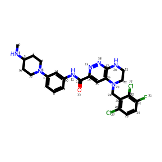 CNC1CCN(c2cccc(NC(=O)c3cc4c(nn3)NCCN4Cc3c(Cl)ccc(F)c3Cl)c2)CC1